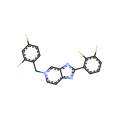 Fc1ccc(Cn2ccc3nc(-c4cccc(F)c4F)nc-3c2)c(F)c1